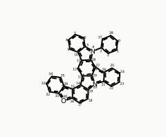 c1ccc(-n2c3ccccc3c3cc4c5c6c(ccc5n5c7ccccc7c(c32)c45)oc2ccccc26)cc1